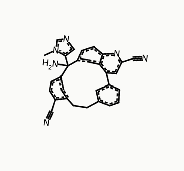 Cn1cncc1C1(N)c2ccc(C#N)c(c2)CCc2cccc(c2)-c2cc(C#N)nc3ccc1cc23